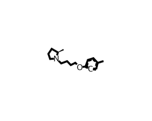 Cc1ccc(OCCCCN2CCC[C@H]2C)cc1